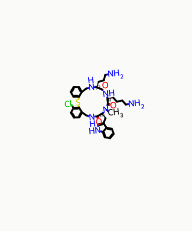 CN1C(=O)[C@H](CCCCN)NC(=O)[C@H](CCCN)NCc2ccccc2Sc2c(Cl)cccc2CNC(=O)[C@@H]1Cc1c[nH]c2ccccc12